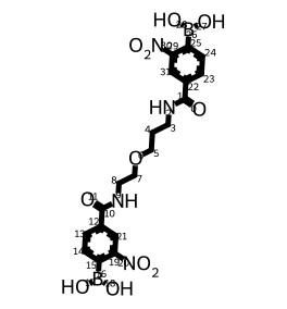 O=C(NCCCOCCNC(=O)c1ccc(B(O)O)c([N+](=O)[O-])c1)c1ccc(B(O)O)c([N+](=O)[O-])c1